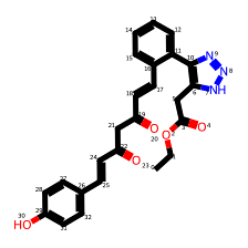 CCOC(=O)Cc1[nH]nnc1-c1ccccc1/C=C/C(=O)CC(=O)/C=C/c1ccc(O)cc1